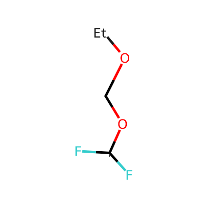 CCOCO[C](F)F